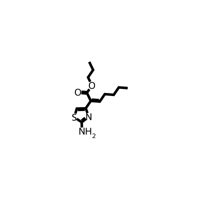 CCCC/C=C(\C(=O)OCCC)c1csc(N)n1